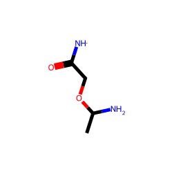 CC(N)OCC([NH])=O